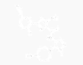 Cn1ncc(NC(=O)c2nc(-c3cc(C#N)ccc3F)sc2N)c1N1CCCC(N)CC1